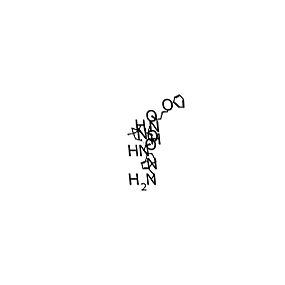 C[C@@]12C[C@@H]1N(C(=O)CNC(=O)CCCOc1ccccc1)[C@H](C(=O)N[C@H]1CCn3c(CN)ccc31)C2